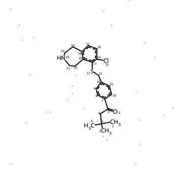 CC(C)(C)CC(=O)c1ccc(CSc2c(Cl)ccc3c2CCNCC3)cc1